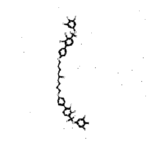 O=C(CCCCOc1ccc(-c2ccc(C(F)(F)Oc3cc(F)c(F)c(F)c3)c(F)c2F)cc1)CCCCOc1ccc(-c2ccc(C(F)(F)Oc3cc(F)c(F)c(F)c3)c(F)c2F)cc1